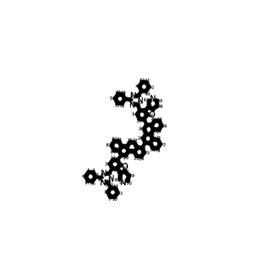 c1ccc(-c2nc(-c3ccccc3)nc(-c3ccc(-c4cc5c6cccc(-c7cc8cc(-c9ccc(-c%10nc(-c%11ccccc%11)nc(-c%11ccccc%11)n%10)c%10c9oc9ccncc9%10)c9ccccc9c8c8ccccc78)c6ccc5c5ccccc45)c4oc5ccncc5c34)n2)cc1